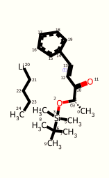 C[C@H](O[Si](C)(C)C(C)(C)C)C(=O)/C=C/c1ccccc1.[Li][CH2]CCC